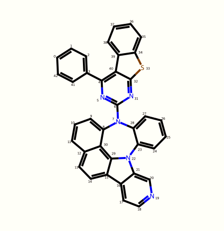 c1ccc(-c2nc(-n3c4cccc5ccc6c7ccncc7n(c7ccccc73)c6c54)nc3sc4ccccc4c23)cc1